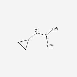 CCCN(CCC)NC1CC1